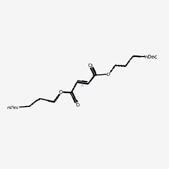 CCCCCCCCCCCCCOC(=O)/C=C/C(=O)OCCCCCCCCCCCCC